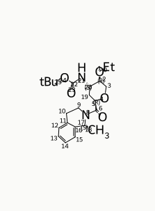 CCO[C@H]1CO[C@@H](C(=O)N2CCc3ccccc3[C@@H]2C)C[C@@H]1NC(=O)OC(C)(C)C